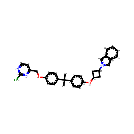 CC(C)(c1ccc(OCc2ccnc(Cl)n2)cc1)c1ccc(OC2CC(n3cc4ccccc4c3)C2)cc1